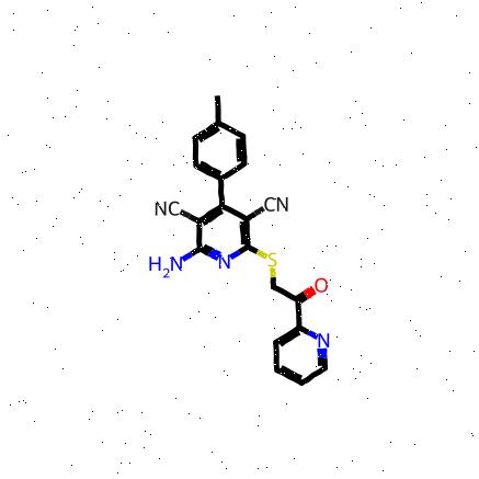 Cc1ccc(-c2c(C#N)c(N)nc(SCC(=O)c3ccccn3)c2C#N)cc1